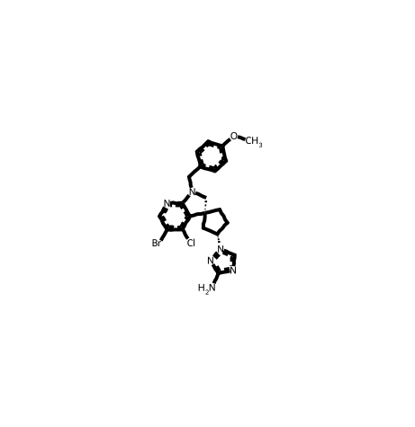 COc1ccc(CN2C[C@@]3(CC[C@H](n4cnc(N)n4)C3)c3c2ncc(Br)c3Cl)cc1